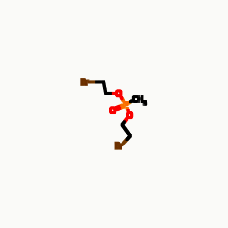 CP(=O)(OCCBr)OCCBr